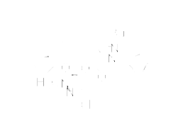 Cc1cccc(C2CC2)c1Oc1nnc(Cl)cc1OC(=O)c1cc(C(C)(C)C)nn1Cc1ccccc1